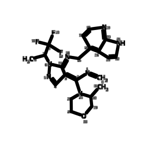 C=N/C(=C1/C=NN(C(C)C(F)(F)F)/C1=N/Cc1ccnc2[nH]ccc12)N1CCOCC1C